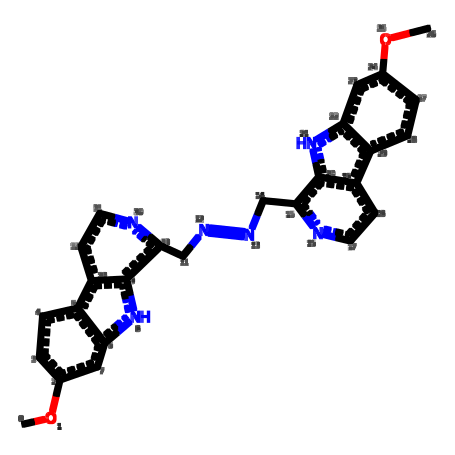 COc1ccc2c(c1)[nH]c1c(CN=NCc3nccc4c3[nH]c3cc(OC)ccc34)nccc12